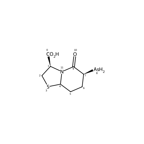 O=C(O)[C@@H]1CSC2CC[C@H]([AsH2])C(=O)N21